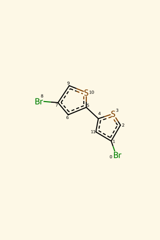 Brc1csc(-c2cc(Br)cs2)c1